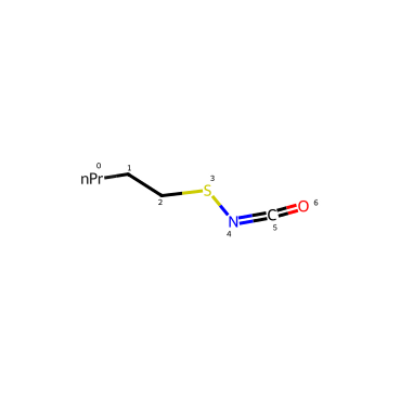 CCCCCSN=C=O